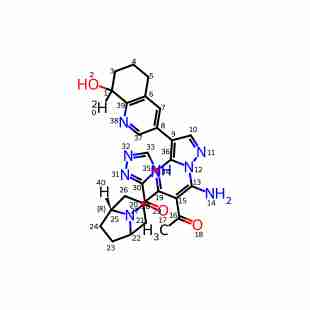 [2H]C1(O)CCCc2cc(-c3cnn4c(N)c(C(C)=O)c(C5CC6CC[C@H](C5)N6C(=O)c5nnc[nH]5)nc34)cnc21